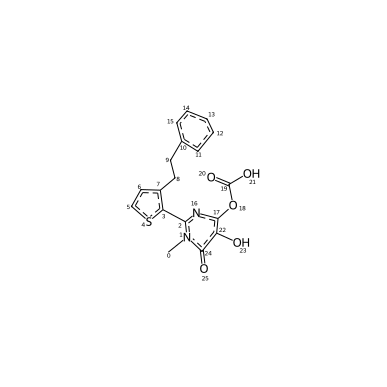 Cn1c(-c2sccc2CCc2ccccc2)nc(OC(=O)O)c(O)c1=O